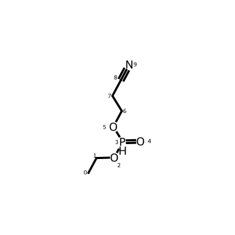 CCO[PH](=O)OCCC#N